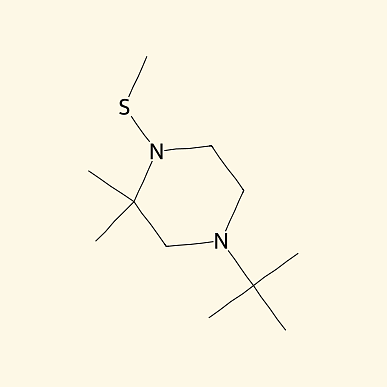 CSN1CCN(C(C)(C)C)CC1(C)C